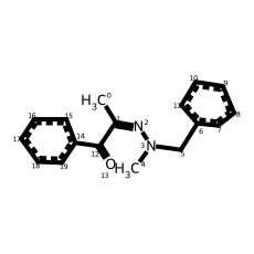 CC(=NN(C)Cc1ccccc1)C(=O)c1ccccc1